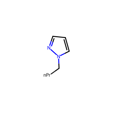 [CH2]CCCn1cccn1